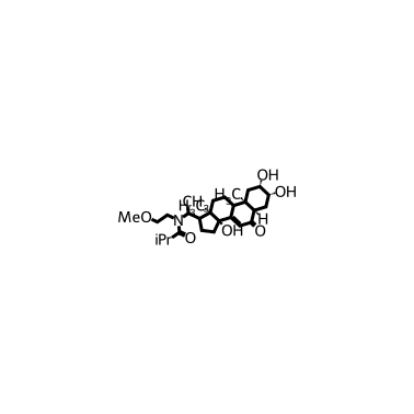 COCCN(C(=O)C(C)C)C(C)C1CC[C@@]2(O)C3=CC(=O)[C@@H]4C[C@@H](O)[C@@H](O)C[C@]4(C)C3CC[C@]12C